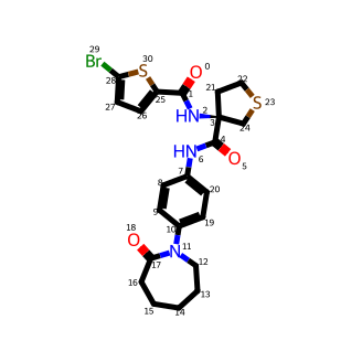 O=C(N[C@@]1(C(=O)Nc2ccc(N3CCCCCC3=O)cc2)CCSC1)c1ccc(Br)s1